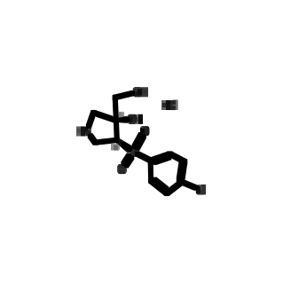 Cl.O=S(=O)(c1ccc(Cl)cc1)[C@H]1CNC[C@]1(O)CO